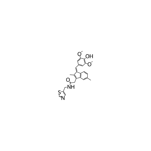 COc1cc(/C=C2/C(C)=C(CC(=O)NCc3cncs3)c3cc(C)ccc32)cc(OC)c1O